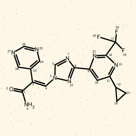 NC(=O)/C(=C/n1cnc(-c2cc(C3CC3)nc(C(F)(F)F)n2)n1)c1cncnc1